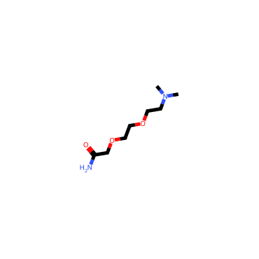 CN(C)CCOCCOCC(N)=O